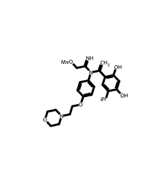 C=C(c1cc(C(C)C)c(O)cc1O)N(C(=N)COC)c1ccc(OCCN2CCOCC2)cc1